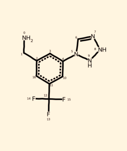 NCc1cc(N2C=NNN2)cc(C(F)(F)F)c1